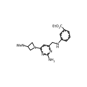 CCOC(=O)c1cccc(NCc2cc(N3CC(NC)C3)nc(N)n2)c1